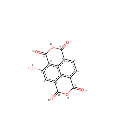 Bc1cc2c3c(ccc4c3c1C(=O)OC4=O)C(=O)OC2=O